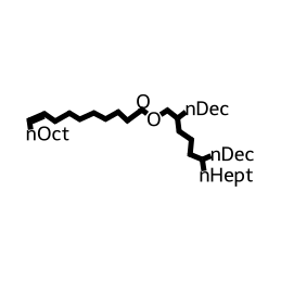 CCCCCCCC/C=C\CCCCCCCC(=O)OCC(CCCCCCCCCC)CCCC(CCCCCCC)CCCCCCCCCC